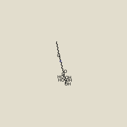 CCCCCCCCCOCC/C=C/CCCCCCC(=O)OCC(O)C(O)C(O)C(O)CO